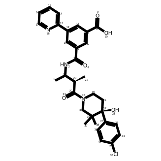 CC(NC(=O)c1cc(C(=O)O)cc(-c2ccccn2)c1)[C@@H](C)C(=O)N1CC[C@](O)(c2ccc(Cl)cc2)C(C)(C)C1